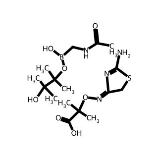 CC(=O)NCB(O)OC(C)(C)C(C)(C)O.CC(C)(ON=C1CSC(N)=N1)C(=O)O